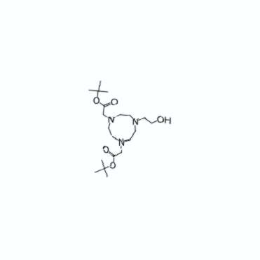 CC(C)(C)OC(=O)CN1CCN(CCO)CCN(CC(=O)OC(C)(C)C)CC1